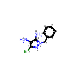 Nc1c(Br)nn(Cc2ccccc2)c1N